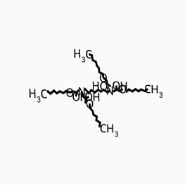 CCCCCCCCOCC(O)CN(CCCCCCCCN(CC(O)COCCCCCCCC)CC(O)COCCCCCCCC)CC(O)COCCCCCCCC